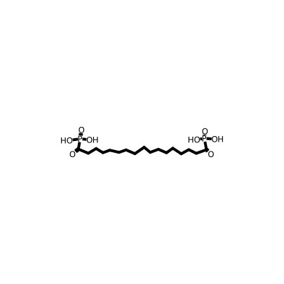 O=C(CCCCCCCCCCCCCCCC(=O)P(=O)(O)O)P(=O)(O)O